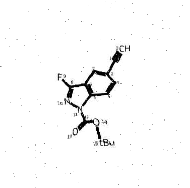 C#Cc1ccc2c(c1)c(F)nn2C(=O)OC(C)(C)C